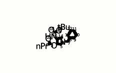 CCCC(=O)OC1CN(Cc2ccccc2)CC1NC(=O)OC(C)(C)C